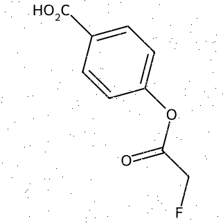 O=C(CF)Oc1ccc(C(=O)O)cc1